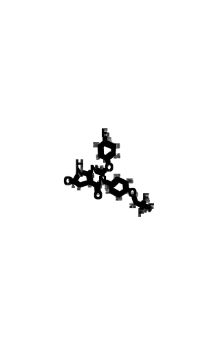 O=C1Cc2c(nc(Oc3ccc(F)cc3)n(-c3ccc(OCC(F)(F)F)cc3)c2=O)N1